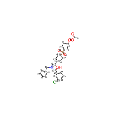 CC(=O)OOc1ccc(S(=O)(=O)c2ccc(CCN(Cc3ccccc3)C[C@H](O)c3cccc(Cl)c3)cc2)cc1